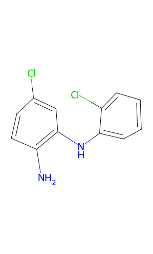 Nc1ccc(Cl)cc1Nc1ccccc1Cl